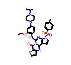 CCOc1cc(N2CCN(C(C)C)CC2)ccc1Nc1nc2c(ccn2S(=O)(=O)c2ccc(C)cc2)c2nc3ccsc3c(=O)n12